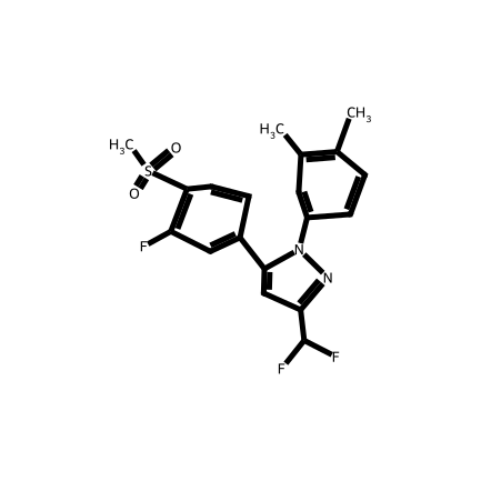 Cc1ccc(-n2nc(C(F)F)cc2-c2ccc(S(C)(=O)=O)c(F)c2)cc1C